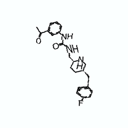 CC(=O)c1cccc(NC(=O)NC[C@@H]2CC[C@H](Cc3ccc(F)cc3)CN2)c1